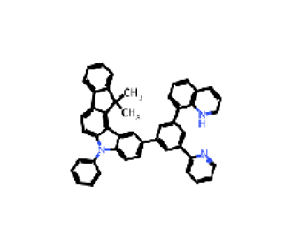 CC1(C)c2ccccc2-c2ccc3c(c21)c1cc(-c2cc(-c4ccccn4)cc(-c4cccc5c4NCC=C5)c2)ccc1n3-c1ccccc1